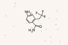 NC(=O)c1ccc(N)cc1CC(F)(F)F